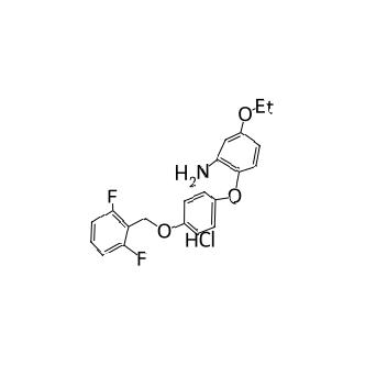 CCOc1ccc(Oc2ccc(OCc3c(F)cccc3F)cc2)c(N)c1.Cl